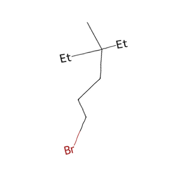 CCC(C)(CC)CCCBr